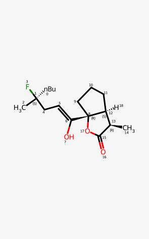 CCCC[C@](C)(F)CC=C(O)[C@@]12CCC[C@H]1[C@@H](C)C(=O)O2